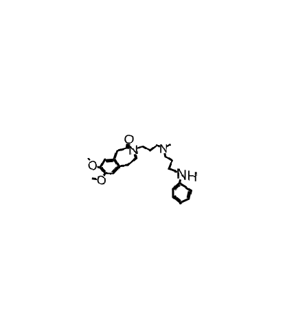 COc1cc2c(cc1OC)CC(=O)N(CCCN(C)CCCNc1ccccc1)CC2